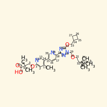 Cc1cc(OCC(C)(C)C(=O)O)ncc1-c1ccc(-c2nc(OCC3CCC3)n(COCC[Si](C)(C)C)n2)nc1